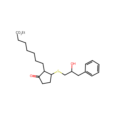 CCOC(=O)CCCCCCC1C(=O)CCC1SCC(O)Cc1ccccc1